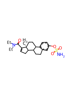 CCN(CC)C(=O)C1=CCC2C3CCc4cc(OS(N)(=O)=O)ccc4C3CC[C@]12C